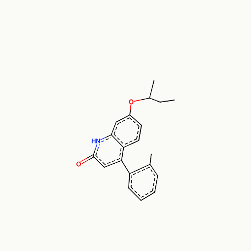 CCC(C)Oc1ccc2c(-c3ccccc3C)cc(=O)[nH]c2c1